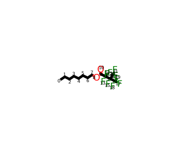 CCCCCCCCOC(=O)C(F)(F)C(F)(C(F)(F)F)C(F)(F)F